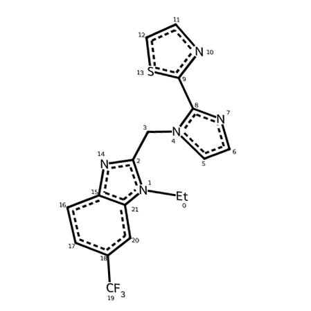 CCn1c(Cn2ccnc2-c2nccs2)nc2ccc(C(F)(F)F)cc21